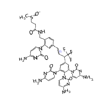 C[S+]([O-])CCC(=O)NCc1ccc(/C=C/C(c2cc(-n3ccc(N)nc3=O)c(-n3ccc(N)nc3=O)c(-n3ccc(N)nc3=O)c2)C(F)(F)F)cc1-n1ccc(N)nc1=O